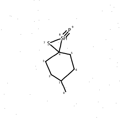 CC1CCC2(CC1)S[SH]2#P